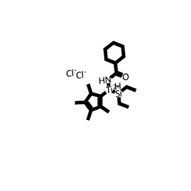 CC[SiH](CC)[Ti+2]([NH]C(=O)C1CCCCC1)[C]1=C(C)C(C)=C(C)C1C.[Cl-].[Cl-]